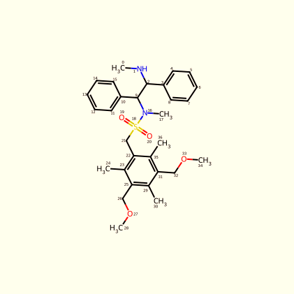 CNC(c1ccccc1)C(c1ccccc1)N(C)S(=O)(=O)Cc1c(C)c(COC)c(C)c(COC)c1C